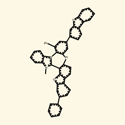 Cc1ccc2c(oc3cc(-c4ccccc4)ccc32)c1-c1n(-c2c(C(C)C)cc(-c3ccc4c(c3)oc3ccccc34)cc2C(C)C)c2ccccc2[n+]1C